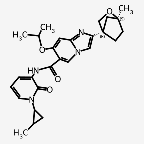 CC(C)Oc1cc2nc([C@@]34CC[C@@](C)(C3)OC4)cn2cc1C(=O)Nc1cccn(C2CC2C)c1=O